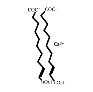 CCCCCCCCC=CCCCCCCCC(=O)[O-].CCCCCCCCC=CCCCCCCCC(=O)[O-].[Ca+2]